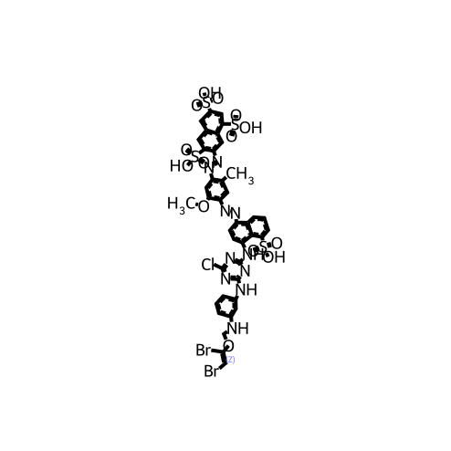 COc1cc(N=Nc2cc3c(S(=O)(=O)O)cc(S(=O)(=O)O)cc3cc2S(=O)(=O)O)c(C)cc1N=Nc1ccc(Nc2nc(Cl)nc(Nc3cccc(NCO/C(Br)=C/Br)c3)n2)c2c(S(=O)(=O)O)cccc12